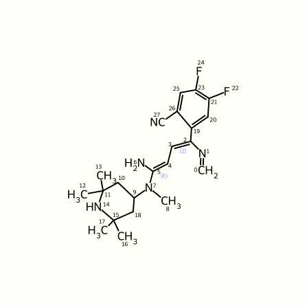 C=N/C(=C\C=C(/N)N(C)C1CC(C)(C)NC(C)(C)C1)c1cc(F)c(F)cc1C#N